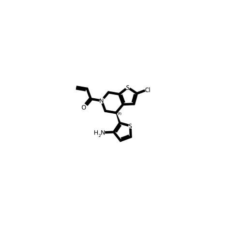 C=CC(=O)N1Cc2sc(Cl)cc2[C@@H](c2sccc2N)C1